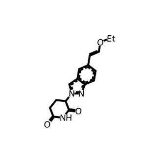 CCOC=Cc1ccc2nn(C3CCC(=O)NC3=O)cc2c1